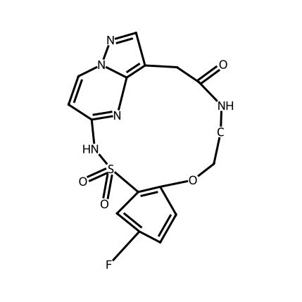 O=C1Cc2cnn3ccc(nc23)NS(=O)(=O)c2cc(F)ccc2OCCN1